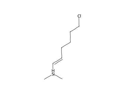 C[SiH](C)C=CCCCCCl